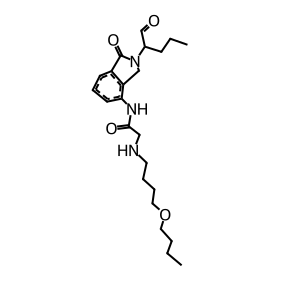 CCCCOCCCCNCC(=O)Nc1cccc2c1CN(C(C=O)CCC)C2=O